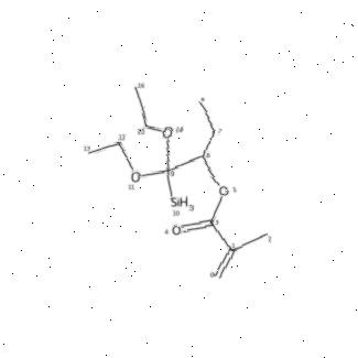 C=C(C)C(=O)OC(CC)C([SiH3])(OCC)OCC